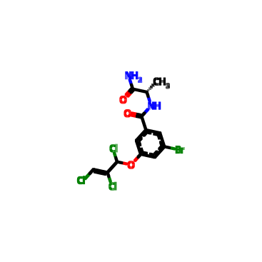 C[C@H](NC(=O)c1cc(Br)cc(OC(Cl)C(Cl)=CCl)c1)C(N)=O